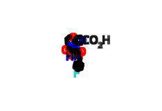 O=C(NCc1ccc(F)cc1)c1nc2n(c(=O)c1O)CCCOC21CCN(C(=O)O)CC1